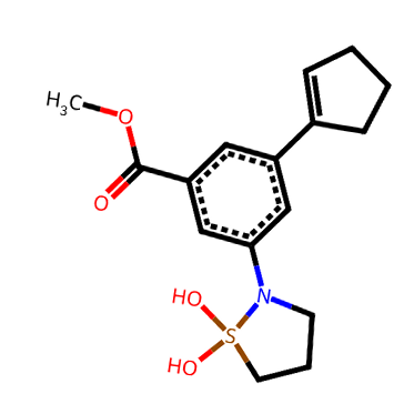 COC(=O)c1cc(C2=CCCC2)cc(N2CCCS2(O)O)c1